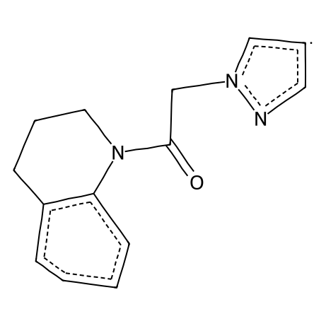 O=C(Cn1c[c]cn1)N1CCCc2ccccc21